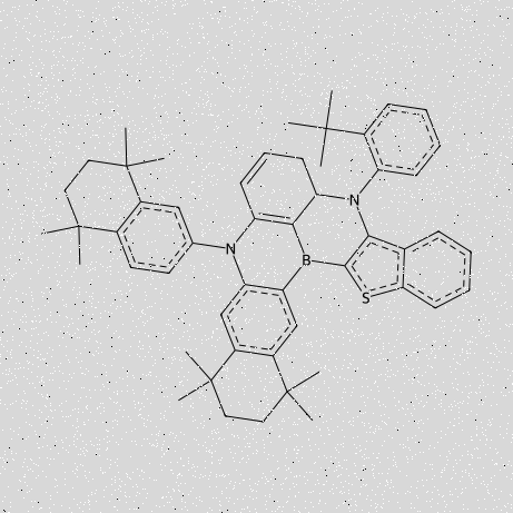 CC(C)(C)c1ccccc1N1c2c(sc3ccccc23)B2C3=C(C=CCC31)N(c1ccc3c(c1)C(C)(C)CCC3(C)C)c1cc3c(cc12)C(C)(C)CCC3(C)C